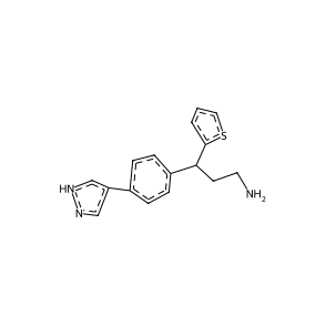 NCCC(c1ccc(-c2cn[nH]c2)cc1)c1cccs1